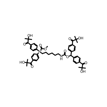 COC(=O)[N+](CCCCCCNC(=O)OC(c1ccc(C(=O)C(C)(C)O)cc1)c1ccc(C(=O)C(C)(C)O)cc1)(c1ccc(C(=O)C(C)(C)O)cc1)c1ccc(C(=O)C(C)(C)O)cc1